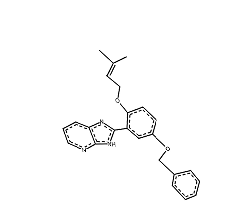 CC(C)=CCOc1ccc(OCc2ccccc2)cc1-c1nc2cccnc2[nH]1